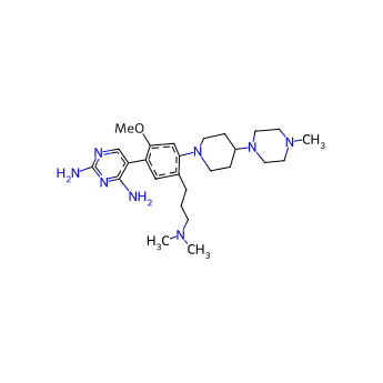 COc1cc(N2CCC(N3CCN(C)CC3)CC2)c(CCCN(C)C)cc1-c1cnc(N)nc1N